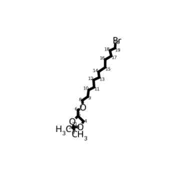 CC1(C)OCC(COCCCCCCCCCCCCBr)O1